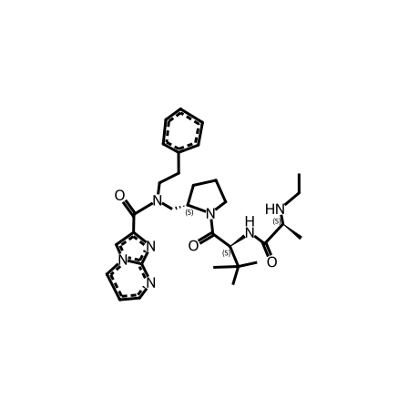 CCN[C@@H](C)C(=O)N[C@H](C(=O)N1CCC[C@H]1CN(CCc1ccccc1)C(=O)c1cn2cccnc2n1)C(C)(C)C